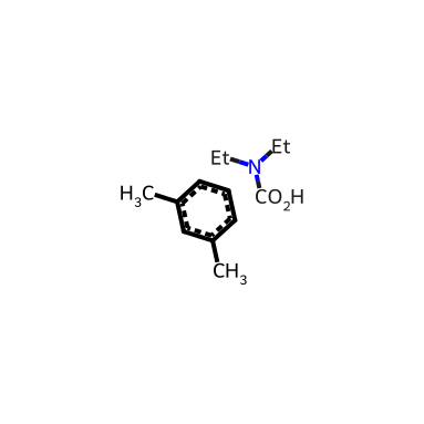 CCN(CC)C(=O)O.Cc1cccc(C)c1